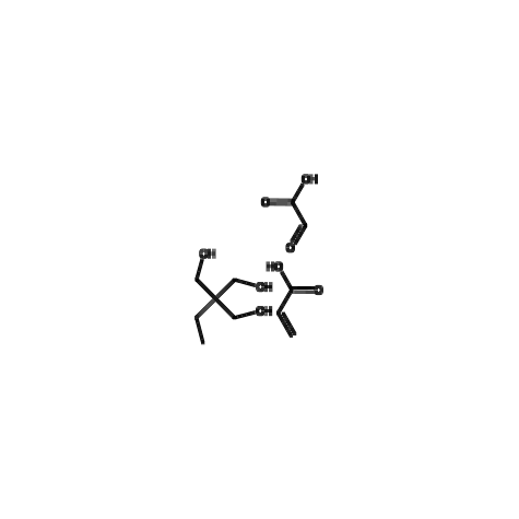 C=CC(=O)O.CCC(CO)(CO)CO.O=CC(=O)O